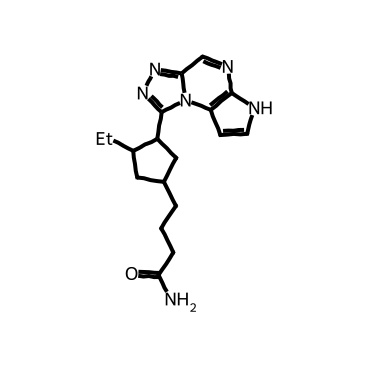 CCC1CC(CCCC(N)=O)CC1c1nnc2cnc3[nH]ccc3n12